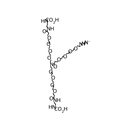 [N-]=[N+]=NCCOCCOCCOCCOCCC(=O)N(CCOCCOCCOCCOCCC(=O)NCCNC(=O)O)CCOCCOCCOCCOCCC(=O)NCCNC(=O)O